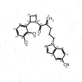 C=C(CCCn1ncc2cc(C#N)ccc21)C(=O)N1CCC1c1cccc(Cl)c1Cl